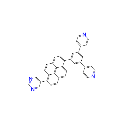 c1cc(-c2cc(-c3ccncc3)cc(-c3ccc4ccc5c(-c6cncnc6)ccc6ccc3c4c65)c2)ccn1